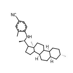 Cc1cc(C#N)ccc1N[C@H](C)C1CCC2[C@@H]3CC[C@@H]4C[C@@H](C)CC[C@@H]4C3CC[C@@]21C